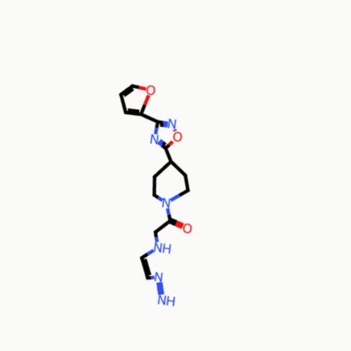 N=N/C=C\NCC(=O)N1CCC(c2nc(-c3ccco3)no2)CC1